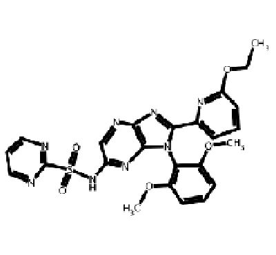 CCOc1cccc(-c2nc3ncc(NS(=O)(=O)c4ncccn4)nc3n2-c2c(OC)cccc2OC)n1